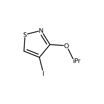 CC(C)Oc1nscc1I